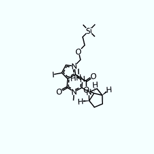 CNC(=O)O[C@H]1[C@H]2CC[C@@H]1N(c1nc3c(c(I)cn3COCC[Si](C)(C)C)c(=O)n1C)C2